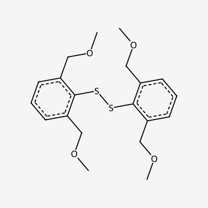 COCc1cccc(COC)c1SSc1c(COC)cccc1COC